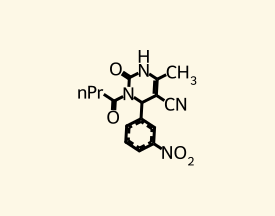 CCCC(=O)N1C(=O)NC(C)=C(C#N)C1c1cccc([N+](=O)[O-])c1